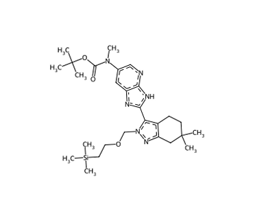 CN(C(=O)OC(C)(C)C)c1cnc2[nH]c(-c3c4c(nn3COCC[Si](C)(C)C)CC(C)(C)CC4)nc2c1